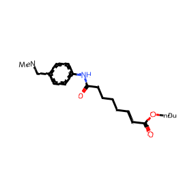 CCCCOC(=O)CCCCCCC(=O)Nc1ccc(CNC)cc1